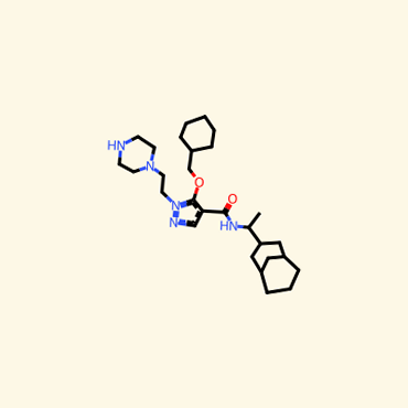 CC(NC(=O)c1cnn(CCN2CCNCC2)c1OCC1CCCCC1)C1CC2CCCC(C2)C1